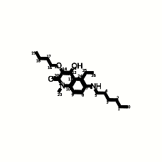 CCCCCCNc1ccc2c(c(O)c(OCCCC)c(=O)n2C)c1CC